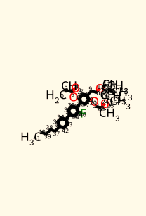 C=C(C)C(=O)Oc1cc(CCO[Si](C)(C)C(C)(C)C)c(OCC(C)OCC)cc1-c1ccc(-c2ccc(CCCCC)cc2)cc1F